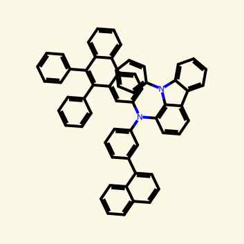 c1ccc(-c2c(-c3ccccc3)c3cc(N(c4cccc(-c5cccc6ccccc56)c4)c4cccc5c6ccccc6n(-c6ccccc6)c45)ccc3c3ccccc23)cc1